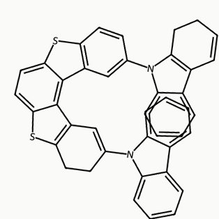 C1=Cc2c(n(-c3ccc4sc5ccc6sc7c(c6c5c4c3)C=C(n3c4ccccc4c4ccccc43)CC7)c3ccccc23)CC1